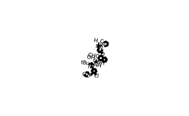 CC1CCCCN1c1nnc2ccc(O[C@@H]3CC[C@H](NC(=O)Nc4cc(C(C)(C)C)nn4-c4ccc(Cl)c(CN5CCOCC5)c4)c4ccccc43)cn12.O=CO